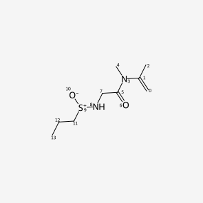 C=C(C)N(C)C(=O)CN[S+]([O-])CCC